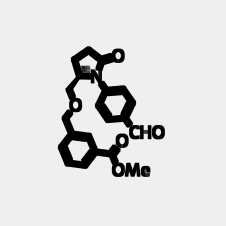 COC(=O)c1cccc(COC[C@H]2CCC(=O)N2c2ccc(C=O)cc2)c1